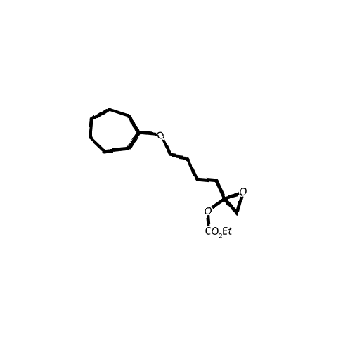 CCOC(=O)OC1(CCCCOC2CCCCCC2)CO1